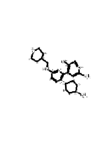 Nc1cc(-c2nc(NCC3CCOCC3)ccc2[C@H]2CC[C@H](N)CC2)c(Cl)cn1